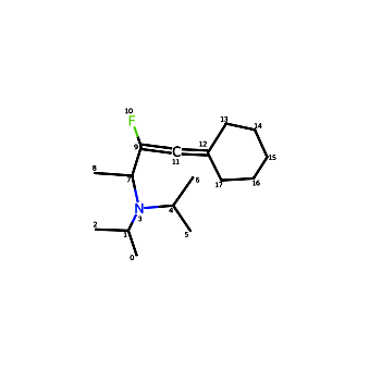 CC(C)N(C(C)C)C(C)C(F)=C=C1CCCCC1